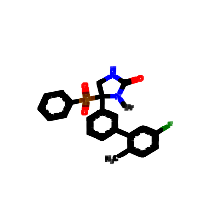 Cc1ccc(F)cc1-c1cccc(C2(S(=O)(=O)c3ccccc3)CNC(=O)N2C(C)C)c1